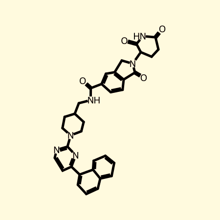 O=C1CCC(N2Cc3cc(C(=O)NCC4CCN(c5nccc(-c6cccc7ccccc67)n5)CC4)ccc3C2=O)C(=O)N1